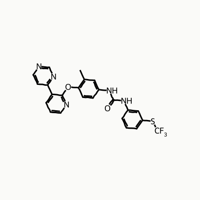 Cc1cc(NC(=O)Nc2cccc(SC(F)(F)F)c2)ccc1Oc1ncccc1-c1ccncn1